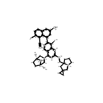 C#Cc1c(F)ccc2cc(O)cc(-c3ncc4c(N5C[C@H]6CC[C@@H](C5)N6)nc(OCC56CCCN5CC5(CC5)C6)nc4c3F)c12